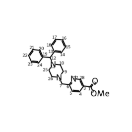 COC(=O)c1ccc(CN2CCN(C(c3ccccc3)c3ccccc3)CC2)nc1